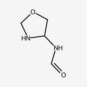 O=CNC1COCN1